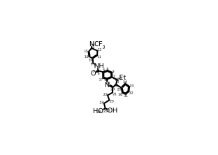 CC[C@H]1c2ccc(C(=O)NCC3=CCC(NC(F)(F)F)C=C3)cc2N=C(CCCCC(O)O)C1c1ccccc1